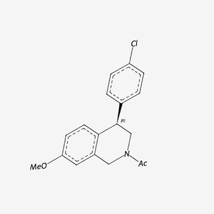 COc1ccc2c(c1)CN(C(C)=O)C[C@@H]2c1ccc(Cl)cc1